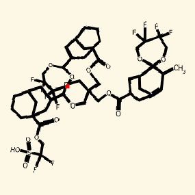 CC1C=C2CC(C(=O)OCC3(COC(=O)C45CCCC(CC(C6OCC(F)(F)C(F)(F)CO6)C4)C5)COC(C4CC5CCCC(C(=O)OCC(F)(F)S(=O)(=O)O)(C5)C4)OC3)CC(C2)C12OCC(F)(F)C(F)(F)CO2